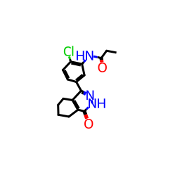 CCC(=O)Nc1cc(-c2n[nH]c(=O)c3c2CCCC3)ccc1Cl